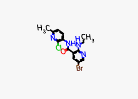 CCNc1ncc(Br)cc1C(=O)Nc1ccc(C)nc1Cl